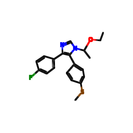 CCOC(C)n1cnc(-c2ccc(F)cc2)c1-c1ccc(SC)cc1